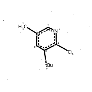 Cc1cnc(Cl)c(C(C)(C)C)c1